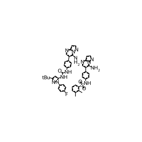 CC(C)(C)c1cc(NC(=O)Nc2ccc(-c3cnc4ccnn4c3N)cc2)n(-c2ccc(F)cc2)n1.Cc1cccc(S(=O)(=O)Nc2ccc(-c3cnc4ccnn4c3N)cc2)c1C